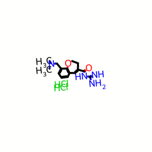 CN(C)Cc1cccc2c1OCCC(C(=O)NC(=N)N)=C2.Cl.Cl